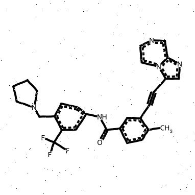 Cc1ccc(C(=O)Nc2ccc(CN3CCCC3)c(C(F)(F)F)c2)cc1C#Cc1cnc2cnccn12